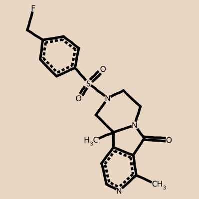 Cc1nccc2c1C(=O)N1CCN(S(=O)(=O)c3ccc(CF)cc3)CC21C